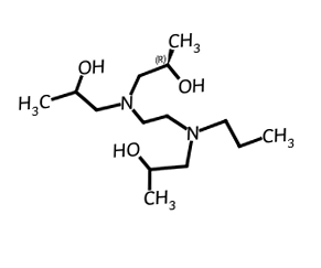 CCCN(CCN(CC(C)O)C[C@@H](C)O)CC(C)O